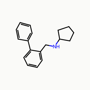 c1ccc(-c2ccccc2CNC2CCCC2)cc1